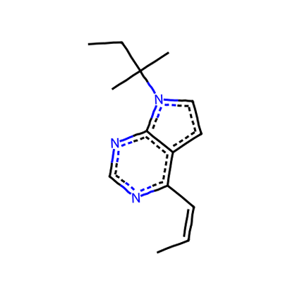 C/C=C\c1ncnc2c1ccn2C(C)(C)CC